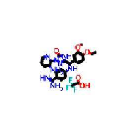 CCOc1ccc(C(Nc2ccc(C(=N)N)cc2)c2nn(-c3ncccc3N)c(=O)[nH]2)cc1OC.O=C(O)C(F)(F)F